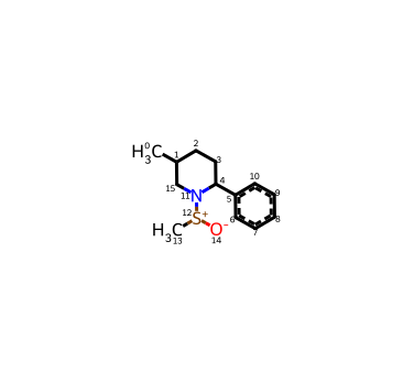 CC1CCC(c2ccccc2)N([S+](C)[O-])C1